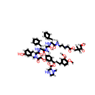 COc1ccc(CC[C@@H](OC(=O)[C@@H]2CNCCN2C)c2cccc(OCC(=O)N(C)[C@@H](Cc3ccc(O)cc3)C(=O)N[C@H](Cc3ccccc3)C(=O)N(C)CC(=O)N[C@H](Cc3ccccc3)C(=O)N(C)CC/C=C/C(=O)OCC(C)(C)C(=O)C=O)c2)cc1OC